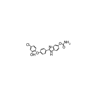 NC(=O)Oc1ccc2[nH]c(-c3ccc(Oc4ccc(Cl)cc4O)cc3)nc2c1